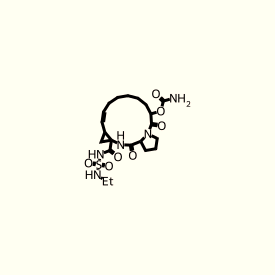 CCNS(=O)(=O)NC(=O)C12CC1C=CCCCCCC(OC(N)=O)C(=O)N1CCCC1C(=O)N2